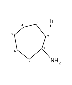 NC1CCCCCC1.[Ti]